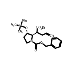 C=CCC(C(=O)OCC)[C@@H]1[C@@H](O[Si](C)(C)C(C)(C)C)CCN1C(=O)OCc1ccccc1